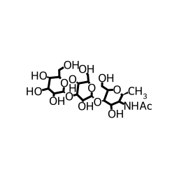 CC(=O)NC1C(O)[C@H](O[C@@H]2OC(CO)[C@H](O)C(O[C@H]3OC(CO)[C@H](O)C(O)C3O)C2O)C(CO)O[C@H]1C